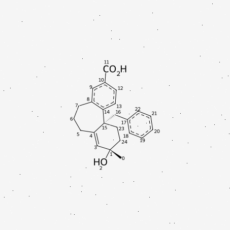 C[C@@]1(O)C=C2CCCc3cc(C(=O)O)ccc3[C@@]2(Cc2ccccc2)CC1